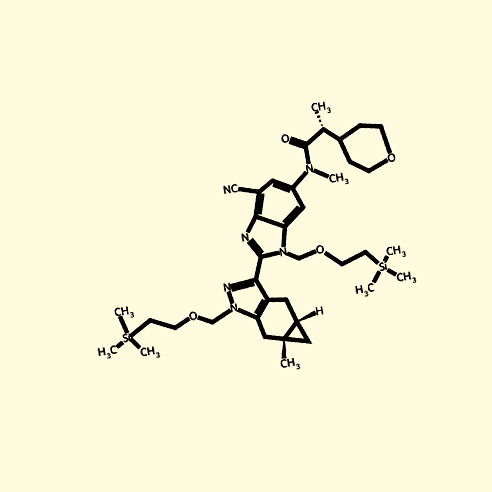 C[C@@H](C(=O)N(C)c1cc(C#N)c2nc(-c3nn(COCC[Si](C)(C)C)c4c3C[C@@H]3C[C@]3(C)C4)n(COCC[Si](C)(C)C)c2c1)C1CCOCC1